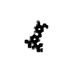 COc1cc(Oc2ccc([N+](=O)[O-])c(N(C)C(=O)O)c2)ccc1C